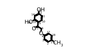 Cc1ccc(OCC(=O)c2ccc(O)cc2O)cc1